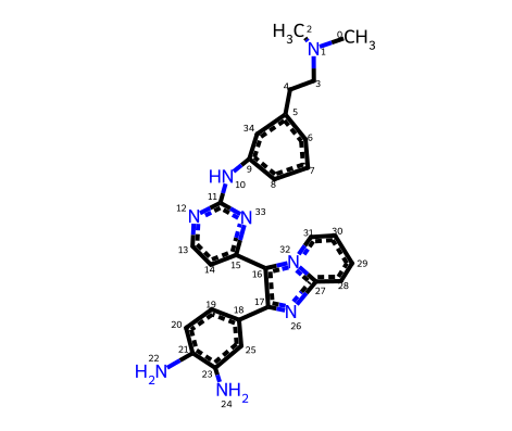 CN(C)CCc1cccc(Nc2nccc(-c3c(-c4ccc(N)c(N)c4)nc4ccccn34)n2)c1